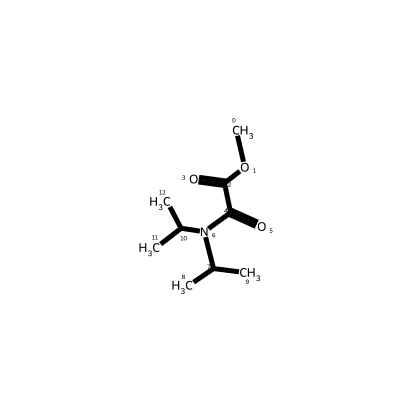 COC(=O)C(=O)N(C(C)C)C(C)C